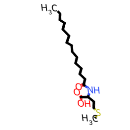 CCCCCCCCCCCCCCC(=O)NC(CCSC)C(=O)O